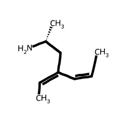 C/C=C\C(=C/C)C[C@@H](C)N